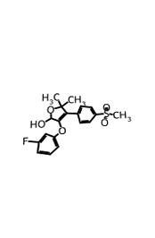 CC1(C)OC(O)C(Oc2cccc(F)c2)=C1c1ccc(S(C)(=O)=O)cc1